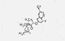 C#Cc1cnc2c(F)cc(OC(SC)C(=O)NC(C)(C)COC)cc2c1